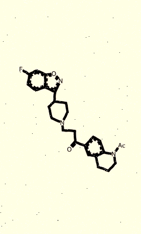 CC(=O)N1CCCc2cc(C(=O)CCN3CCC(c4noc5cc(F)ccc45)CC3)ccc21